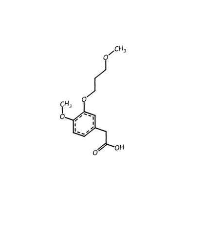 COCCCOc1cc(CC(=O)O)ccc1OC